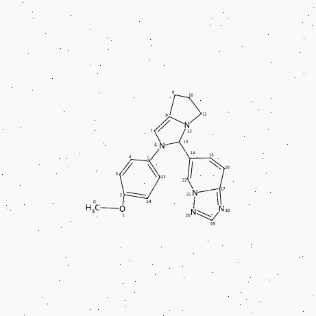 COc1ccc(N2C=C3CCCN3C2c2ccc3ncnn3c2)cc1